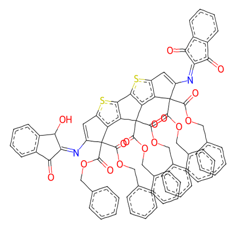 O=C1/C(=N/C2=Cc3sc4c(c3C2(C(=O)OCc2ccccc2)C(=O)OCc2ccccc2)C(C(=O)OCc2ccccc2)(C(=O)OCc2ccccc2)c2c-4sc3c2C(C(=O)OCc2ccccc2)(C(=O)OCc2ccccc2)C(N=c2c(=O)c4ccccc4c2=O)=C3)C(O)c2ccccc21